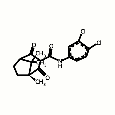 CC1(C)C2CC[C@@]1(C)C(=O)C(C(=O)Nc1ccc(Cl)c(Cl)c1)C2=O